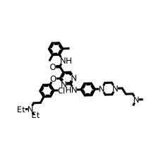 CCN(CC)CCc1ccc(Oc2nc(Nc3ccc(N4CCN(CCCN(C)C)CC4)cc3)ncc2C(=O)Nc2c(C)cccc2C)c(Cl)c1